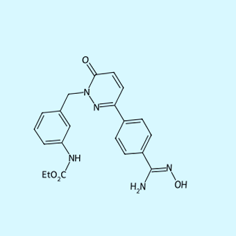 CCOC(=O)Nc1cccc(Cn2nc(-c3ccc(/C(N)=N/O)cc3)ccc2=O)c1